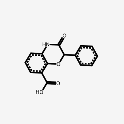 O=C(O)c1cccc2c1OC(c1ccccc1)C(=O)N2